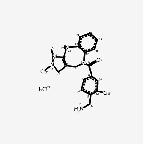 CN1C2=C(CN(C(=O)c3ccc(CN)c(Cl)c3)c3ccccc3N2)CN1Cl.Cl